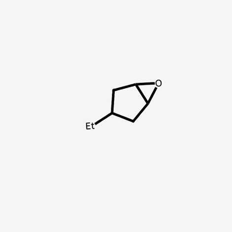 [CH2]CC1CC2OC2C1